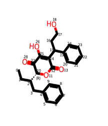 CCC(Cc1ccccc1)[C@H]1OC(=O)C(C(CCO)c2ccccc2)=C(O)C1=O